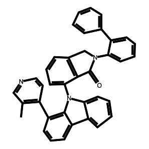 Cc1cnccc1-c1cccc2c3ccccc3n(-c3cccc4c3C(=O)N(c3ccccc3-c3ccccc3)C4)c12